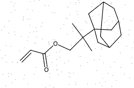 C=CC(=O)OCC(C)(C)C12CC3CC(CC(C3)C1)C2